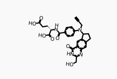 C#CCN(c1ccc(C(=O)N[C@@H](CCC(=O)O)C(=O)O)cc1)C1CCc2cc3nc(CO)[nH]c(=O)c3cc21